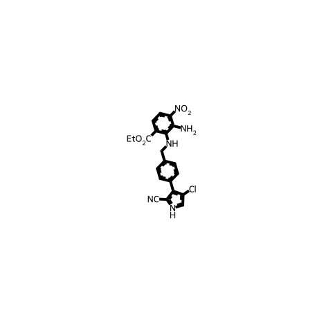 CCOC(=O)c1ccc([N+](=O)[O-])c(N)c1NCc1ccc(-c2c(Cl)c[nH]c2C#N)cc1